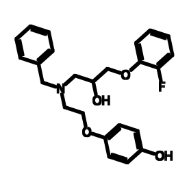 Oc1ccc(OCCN(Cc2ccccc2)CC(O)COc2ccccc2F)cc1